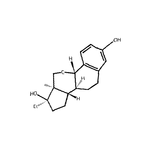 CC[C@@]1(O)CC[C@H]2[C@@H]3CCc4cc(O)ccc4[C@H]3CC[C@@]21C